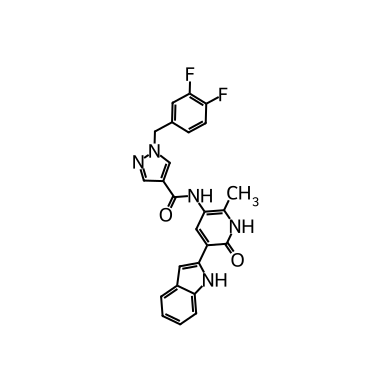 Cc1[nH]c(=O)c(-c2cc3ccccc3[nH]2)cc1NC(=O)c1cnn(Cc2ccc(F)c(F)c2)c1